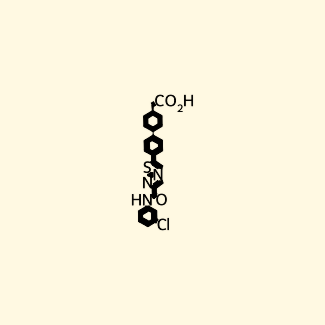 O=C(O)C[C@H]1CC[C@H](c2ccc(-c3cn4cc(C(=O)Nc5cccc(Cl)c5)nc4s3)cc2)CC1